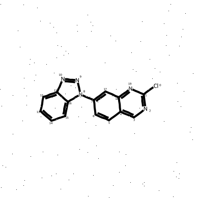 Clc1ncc2ccc(-n3nnc4ccccc43)cc2n1